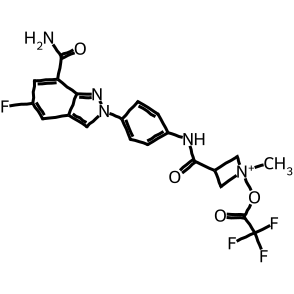 C[N+]1(OC(=O)C(F)(F)F)CC(C(=O)Nc2ccc(-n3cc4cc(F)cc(C(N)=O)c4n3)cc2)C1